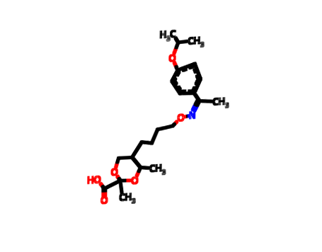 CC(=NOCCCCC1COC(C)(C(=O)O)OC1C)c1ccc(OC(C)C)cc1